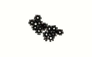 CC1(C)c2ccccc2-c2c(N(c3cccc(-c4ccc(-c5cc6c7ccccc7n7c6c6c5C5(c8ccccc8-c8ccccc85)c5cccc(c5-6)-c5ccccc5-7)cc4)c3)c3cccc4c3c3ccccc3n4-c3ccccc3)cccc21